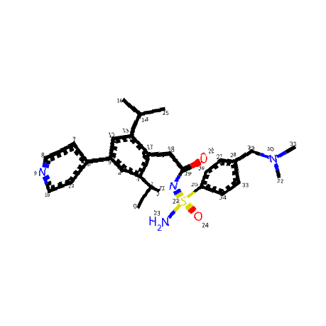 CC(C)c1cc(-c2ccncc2)cc(C(C)C)c1CC(=O)N=S(N)(=O)c1ccc(CN(C)C)cc1